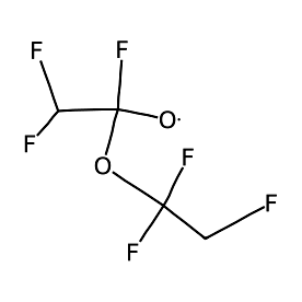 [O]C(F)(OC(F)(F)CF)C(F)F